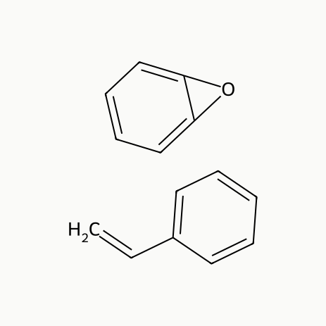 C=Cc1ccccc1.c1ccc2c(c1)O2